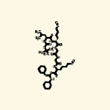 CC(C)C[C@H](NC(=O)OC(C)(C)C)C(=O)N[C@H](CCCCN=O)C(=O)NCC(=O)NCC(=O)N[C@@H](CCCCN=O)C(=O)O/C(=N\C1CCCCC1)NC1CCCCC1